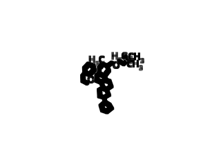 C1=Cc2ccccc2OC1.CC1=Cc2ccc3c(c2=CC1COCC[Si](C)(C)C)=CCC1=C3C=CC(c2ccccc2)C1